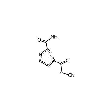 N#C[CH]C(=O)c1ccnc(C(N)=O)c1